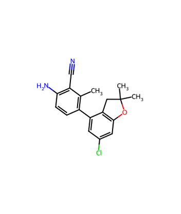 Cc1c(-c2cc(Cl)cc3c2CC(C)(C)O3)ccc(N)c1C#N